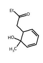 CCC(=O)CC1C=CC=CC1(C)O